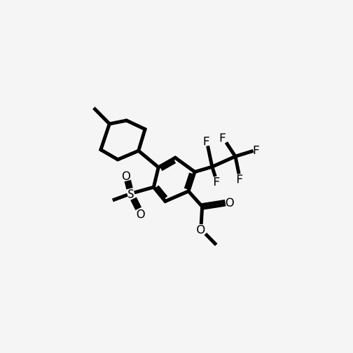 COC(=O)c1cc(S(C)(=O)=O)c(C2CCC(C)CC2)cc1C(F)(F)C(F)(F)F